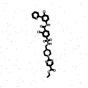 CCOC(=O)c1cnc(N2CCC(CNS(=O)(=O)c3ccc(C(=O)Nc4ccc(Cl)c(-c5ccccn5)c4)c(Cl)c3)CC2)nc1